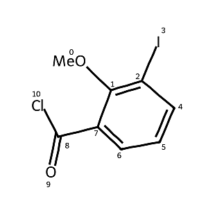 COc1c(I)cccc1C(=O)Cl